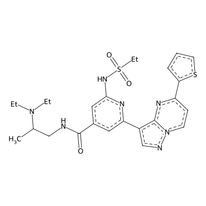 CCN(CC)C(C)CNC(=O)c1cc(NS(=O)(=O)CC)nc(-c2cnn3ccc(-c4cccs4)nc23)c1